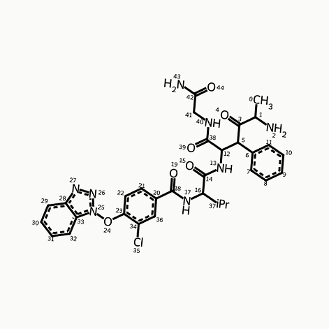 CC(N)C(=O)C(c1ccccc1)C(NC(=O)C(NC(=O)c1ccc(On2nnc3ccccc32)c(Cl)c1)C(C)C)C(=O)NCC(N)=O